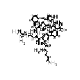 NCCCC[C@H](N)C(=O)N[C@@H](Cc1c[nH]c2ccccc12)C(=O)C(=O)[C@H](CCCNC(N)N)NN[C@@H](Cc1ccccc1)C(=O)N[C@@H](Cc1c[nH]cn1)C(=O)CC(=O)[C@@H](N)CC(=O)O